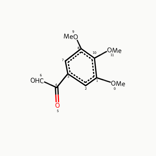 COc1cc(C(=O)C=O)cc(OC)c1OC